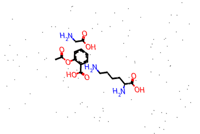 CC(=O)Oc1ccccc1C(=O)O.NCC(=O)O.NCCCC[C@H](N)C(=O)O